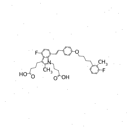 Cc1c(F)cccc1CCCCOc1ccc(C=Cc2ccc(F)c3c(CCCC(=O)O)c(C)n(CCCC(=O)O)c23)cc1